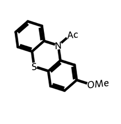 COc1ccc2c(c1)N(C(C)=O)c1ccccc1S2